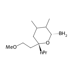 B[C@@H]1O[C@](CCC)(CCOC)CC(C)C1C